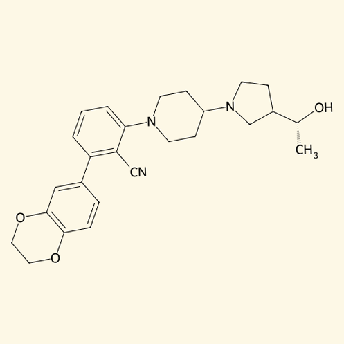 C[C@@H](O)C1CCN(C2CCN(c3cccc(-c4ccc5c(c4)OCCO5)c3C#N)CC2)C1